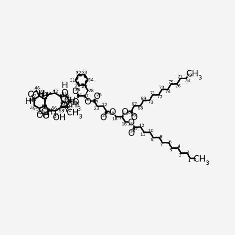 CCCCCCCCCCCCCC(=O)OCC(COC(=O)CCC(=O)O[C@H](Cc1ccccc1)C(=O)O[C@H]1CC2(O)CC[C@@H]3[C@@H]4CO[C@@H]4C[C@H](O)[C@@]3(C)C(=O)[C@H](O)C(=C1C)C2(C)C)OC(=O)CCCCCCCCCCCCC